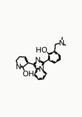 CN(C)Cc1cccc(-c2nc(C3=CCCN=C3O)c3ccccn23)c1O